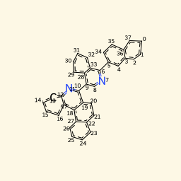 c1ccc2cc(-c3ncc(-c4nc5ccccc5c5c4ccc4ccccc45)c4ccccc34)ccc2c1